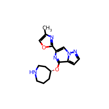 Cc1coc(-c2cn3nccc3c(O[C@@H]3CCCNCC3)n2)n1